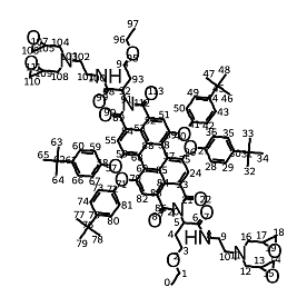 CCOCCC(C(=O)NCCN(CC1CO1)CC1CO1)N1C(=O)c2cc(Oc3ccc(C(C)(C)C)cc3)c3c4c(Oc5ccc(C(C)(C)C)cc5)cc5c6c(cc(Oc7ccc(C(C)(C)C)cc7)c(c7c(Oc8ccc(C(C)(C)C)cc8)cc(c2c37)C1=O)c64)C(=O)N(C(CCOCC)C(=O)NCCN(CC1CO1)CC1CO1)C5=O